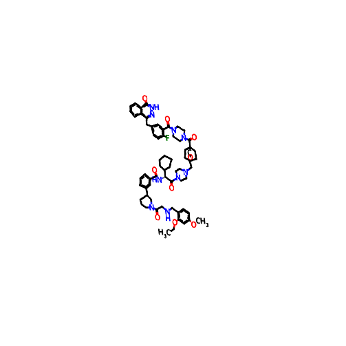 CCOc1cc(OC)ccc1CNCC(=O)N1CCCC(c2cccc(C(=O)N[C@@H](C(=O)N3CCN(CC45CCC(C(=O)N6CCN(C(=O)c7cc(Cc8n[nH]c(=O)c9ccccc89)ccc7F)CC6)(CC4)CO5)CC3)C3CCCCC3)c2)C1